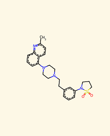 Cc1ccc2c(N3CCN(CCc4cccc(N5CCCS5(=O)=O)c4)CC3)cccc2n1